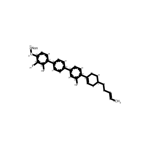 C/C=C/CCC1CC=C(c2ccc(-c3ccc(-c4ccc(OCCCCCCCCC)c(F)c4F)cc3)cc2F)CC1